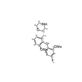 COc1cc(F)ccc1Oc1c(C[C@H]2CNCCO2)cccc1OC